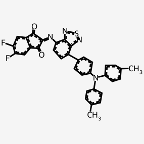 Cc1ccc(N(c2ccc(C)cc2)c2ccc(-c3ccc(N=c4c(=O)c5cc(F)c(F)cc5c4=O)c4nsnc34)cc2)cc1